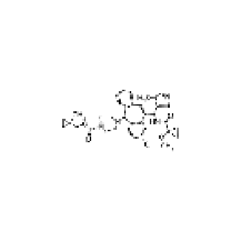 COC1(C(=O)NC(C2=Cc3cccnc3C(N3CCN(C(=O)OCC4(C)CC4)CC3)c3ccc(Cl)cc32)c2cncn2C)CC1